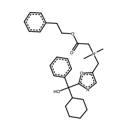 C[N+](C)(CC(=O)OCCc1ccccc1)Cc1cnc(C(O)(c2ccccc2)C2CCCCC2)o1